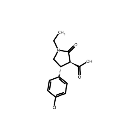 CCN1C[C@@H](c2ccc(Cl)cc2)[C@H](C(=O)O)C1=O